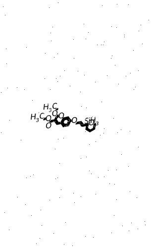 CCOC(=O)C(=Cc1ccc(OCC=CC2([SiH3])CCCCO2)cc1)C(=O)OCC